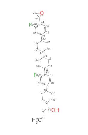 CCCC(O)C1CCC(c2ccc(C3CCC(C4CCC(c5ccc(C6CO6)c(F)c5)CC4)CC3)c(F)c2)CC1